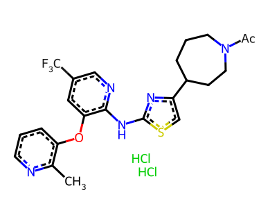 CC(=O)N1CCCC(c2csc(Nc3ncc(C(F)(F)F)cc3Oc3cccnc3C)n2)CC1.Cl.Cl